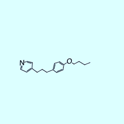 CCCCOc1ccc(CCCc2ccncc2)cc1